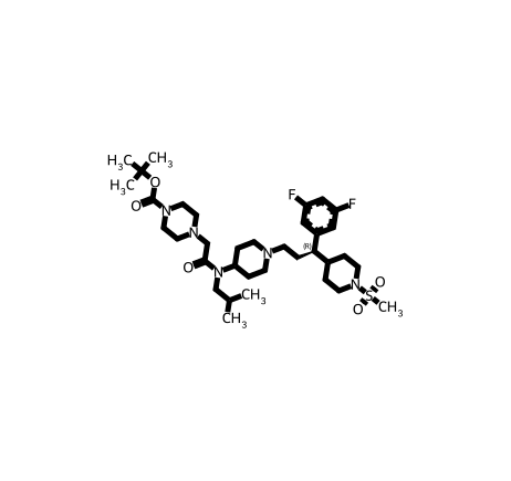 CC(C)CN(C(=O)CN1CCN(C(=O)OC(C)(C)C)CC1)C1CCN(CC[C@@H](c2cc(F)cc(F)c2)C2CCN(S(C)(=O)=O)CC2)CC1